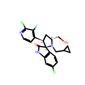 O=C1Nc2cc(Cl)ccc2[C@@]12[C@@H](c1ccnc(Cl)c1F)C[C@H](CO)N2CC1CC1